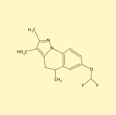 Cc1nn2c(c1C(=O)O)CC(C)c1cc(OC(F)F)ccc1-2